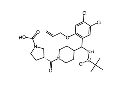 C=CCOc1cc(Cl)c(Cl)cc1C(N[S+]([O-])C(C)(C)C)C1CCN(C(=O)[C@@H]2CCN(C(=O)O)C2)CC1